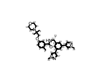 Cc1ccc(OCC(C)(C)N2CCOCC2)cc1C(=O)N[C@H](C)c1cc(-c2cnn(C)c2)cc(-c2cnn(C)c2)c1